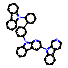 c1cc(-c2ccccc2-n2c3ccccc3c3ccccc32)cc(-n2c3ccccc3c3cc(-n4c5ccccc5c5ccncc54)cnc32)c1